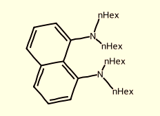 CCCCCCN(CCCCCC)c1cccc2cccc(N(CCCCCC)CCCCCC)c12